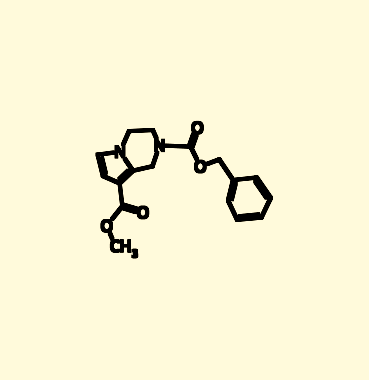 COC(=O)c1ccn2c1CN(C(=O)OCc1ccccc1)CC2